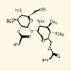 CC(=O)OC[C@H]1O[C@H](O[C@H]2O[C@H](COC(=O)C(C)C)[C@@H](OC(C)=O)[C@H](OC(C)=O)[C@H]2OC(C)=O)[C@H](OC(=O)C(C)C)[C@@H](OC(C)=O)[C@@H]1OC(C)=O